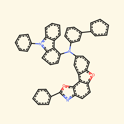 c1ccc(-c2cccc(N(c3ccc4oc5ccc6nc(-c7ccccc7)oc6c5c4c3)c3cccc4c3c3ccccc3n4-c3ccccc3)c2)cc1